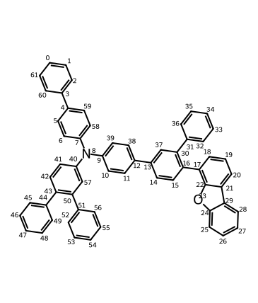 c1ccc(-c2ccc(N(c3ccc(-c4ccc(-c5cccc6c5oc5ccccc56)c(-c5ccccc5)c4)cc3)c3ccc(-c4ccccc4)c(-c4ccccc4)c3)cc2)cc1